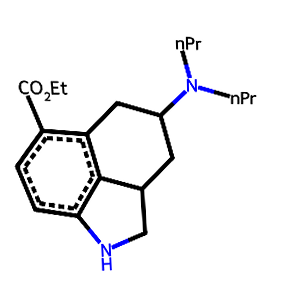 CCCN(CCC)C1Cc2c(C(=O)OCC)ccc3c2C(CN3)C1